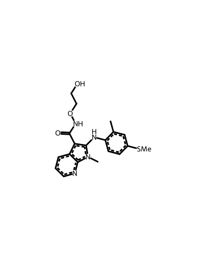 CSc1ccc(Nc2c(C(=O)NOCCO)c3cccnc3n2C)c(C)c1